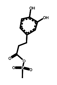 CS(=O)(=O)OC(=O)CCc1ccc(O)c(O)c1